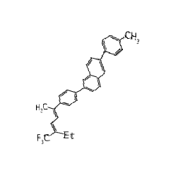 CC/C(=C\C=C(/C)c1ccc(-c2ccc3cc(-c4ccc(C)cc4)ccc3c2)cc1)C(F)(F)F